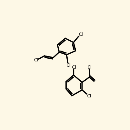 C=C(Cl)c1c(Cl)cccc1Cl.ClC=Cc1ccc(Cl)cc1Cl